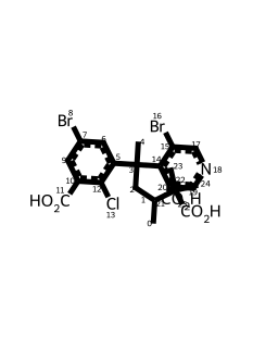 CC(CC(C)(c1cc(Br)cc(C(=O)O)c1Cl)c1c(Br)cncc1C(=O)O)C(C)(C)C(=O)O